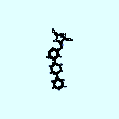 O=C1NC(=O)/C(=C/c2ccnc(N3CCN(c4cccnc4)CC3)n2)S1